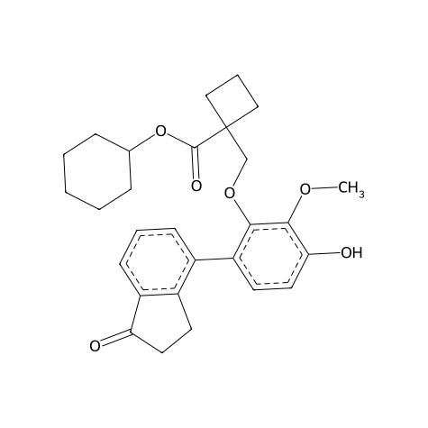 COc1c(O)ccc(-c2cccc3c2CCC3=O)c1OCC1(C(=O)OC2CCCCC2)CCC1